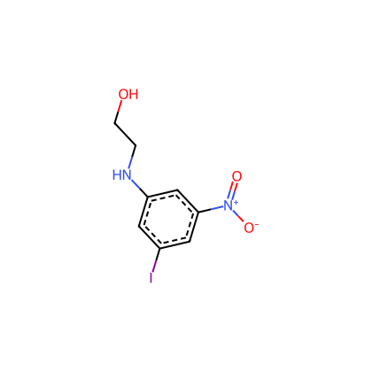 O=[N+]([O-])c1cc(I)cc(NCCO)c1